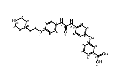 O=C(Nc1ccc(OCCN2CCNCC2)cc1)Nc1ccc(Oc2ccnc(C(=O)O)c2)cc1